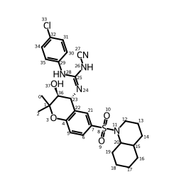 CC1(C)Oc2ccc(S(=O)(=O)N3CCCC4CCCCC43)cc2[C@@H](N=C(NC#N)Nc2ccc(Cl)cc2)[C@@H]1O